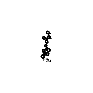 CCCCc1cccc(-n2c3ccccc3c3c(-n4c5ccccc5c5cc(-c6ccc7c(c6)c6ccccc6n7-c6cccc(-c7ccccc7)c6)ccc54)cccc32)c1